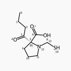 CCCC(=O)[C@@]1(C(=O)O)CCCN1CS